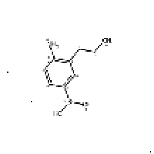 CCCc1cc(B(O)O)ccc1N